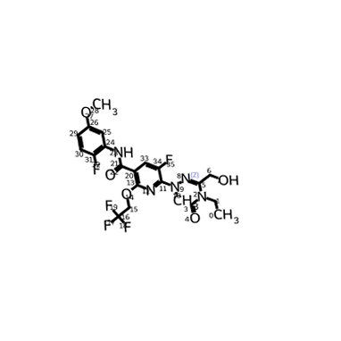 CCN(C=O)/C(CO)=N\N(C)c1nc(OCC(F)(F)F)c(C(=O)Nc2cc(OC)ccc2F)cc1F